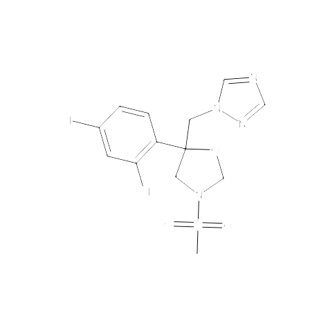 CS(=O)(=O)N1COC(Cn2cncn2)(c2ccc(Cl)cc2Cl)C1